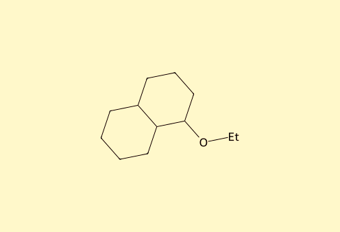 [CH2]COC1CCCC2CCCCC21